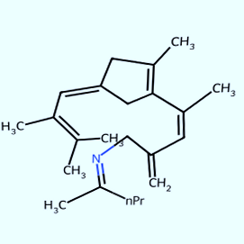 C=C(/C=C(/C)C1=C(C)C/C(=C/C(C)=C(C)C)C1)C/N=C(/C)CCC